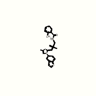 CC1=CN(c2ccc3sccc3c2)C(=CC(C)(C)CNC(=O)c2ccccc2O)S1